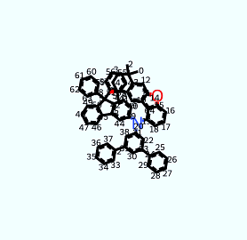 CC1(C)CCC(C)(C)c2cc3c(cc21)oc1cccc(N(c2cc(-c4ccccc4)cc(-c4ccccc4)c2)c2ccc4c(c2)-c2ccccc2C4(c2ccccc2)c2ccccc2)c13